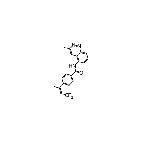 C/C(=C/C(F)(F)F)c1ccc(C(=O)Nc2cccc3nnc(C)cc23)cc1